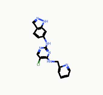 Clc1cnc(Nc2ccc3cn[nH]c3c2)nc1NCc1ccccn1